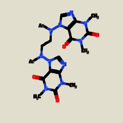 CC(=O)N(CCN(C(C)=O)n1cnc2c1c(=O)n(C)c(=O)n2C)n1cnc2c1c(=O)n(C)c(=O)n2C